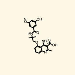 COc1cc(O)cc(C(=O)NC(C)(C)COc2cccc3nc(C)c(C(=O)O)c(N)c23)c1